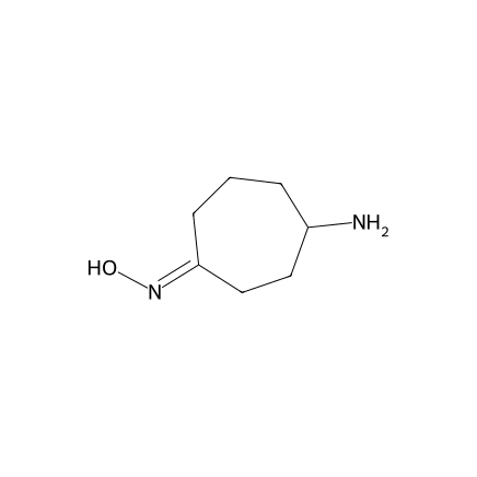 NC1CCCC(=NO)CC1